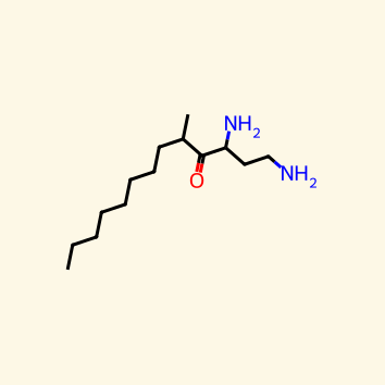 CCCCCCCCC(C)C(=O)C(N)CCN